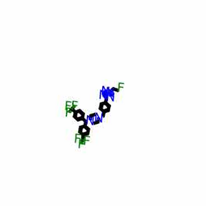 FCCn1nnc(-c2ccc(CN3CCN(C(c4ccc(C(F)(F)F)cc4)c4ccc(C(F)(F)F)cc4)CC3)cc2)n1